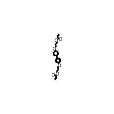 C=CC(=O)OCCCOc1ccc(C2CCC(OCCCOC(=O)C=C)CC2)cc1